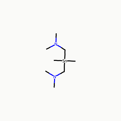 CN(C)[CH2][Sn]([CH3])([CH3])[CH2]N(C)C